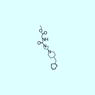 CCOC(=O)CNC(=O)N1CC(N2CCC(Cc3ccccc3)CC2)C1